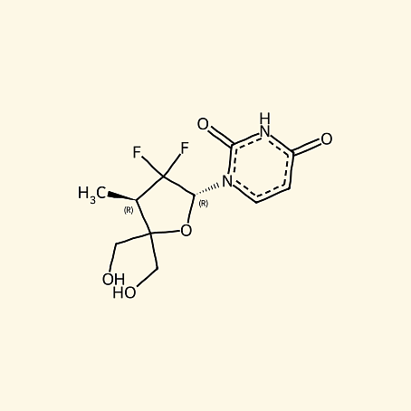 C[C@@H]1C(CO)(CO)O[C@@H](n2ccc(=O)[nH]c2=O)C1(F)F